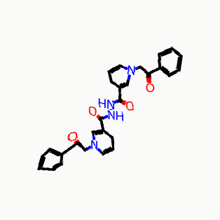 O=C(NNC(=O)C1=CN(CC(=O)c2ccccc2)C=CC1)C1=CN(CC(=O)c2ccccc2)C=CC1